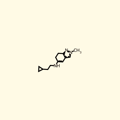 Cn1cc2c(n1)CCC(NCCC1CC1)=C2